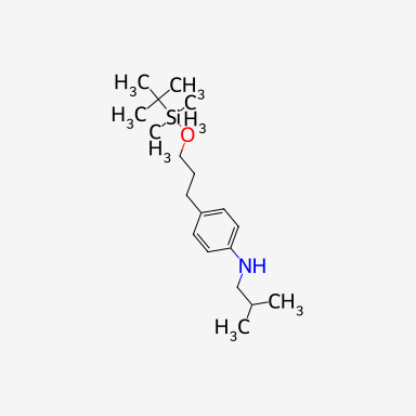 CC(C)CNc1ccc(CCCO[Si](C)(C)C(C)(C)C)cc1